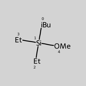 CCC(C)[Si](CC)(CC)OC